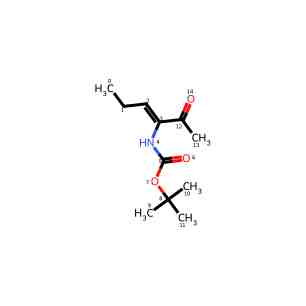 CC/C=C(\NC(=O)OC(C)(C)C)C(C)=O